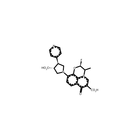 CC1[C@H](F)Oc2c(N3C[C@H](C(=O)O)[C@@H](c4ccncc4)C3)ccc3c(=O)c(C(=O)O)cn1c23